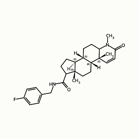 CN1C(=O)C=C[C@@]2(C)C1CC[C@@H]1[C@H]2CC[C@]2(C)C(C(=O)NCc3ccc(F)cc3)CC[C@@H]12